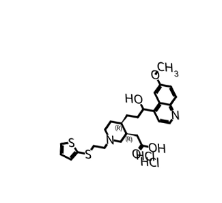 COc1ccc2nccc(C(O)CC[C@@H]3CCN(CCSc4cccs4)C[C@@H]3CC(=O)O)c2c1.Cl.Cl